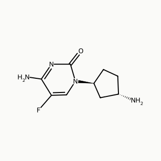 Nc1nc(=O)n([C@H]2CC[C@H](N)C2)cc1F